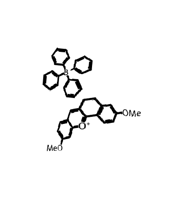 COc1ccc2c(c1)CCc1cc3ccc(OC)cc3[o+]c1-2.c1ccc([B-](c2ccccc2)(c2ccccc2)c2ccccc2)cc1